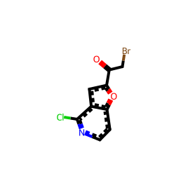 O=C(CBr)c1cc2c(Cl)nccc2o1